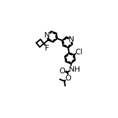 CC(C)OC(=O)Nc1ccc(-c2cncc(-c3ccnc(C4(F)CCC4)c3)c2)c(Cl)c1